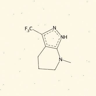 CN1CCCc2c(C(F)(F)F)n[nH]c21